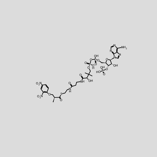 C[C@@H](COc1ccc([N+](=O)[O-])cc1[N+](=O)[O-])C(=O)SCCNC(=O)CCNC(=O)[C@H](O)C(C)(C)COP(=O)(O)OP(=O)(O)OC[C@H]1O[C@@H](n2cnc3c(N)ncnc32)[C@H](O)[C@@H]1OP(=O)(O)O